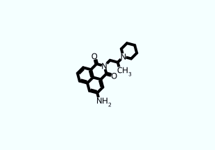 CC(CN1C(=O)c2cccc3cc(N)cc(c23)C1=O)N1CCCCC1